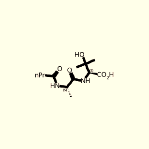 CCCC(=O)N[C@@H](C)C(=O)N[C@H](C(=O)O)C(C)(C)O